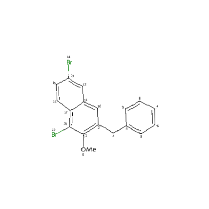 COc1c(Cc2ccccc2)cc2cc(Br)ccc2c1Br